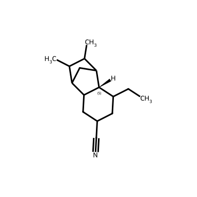 CCC1CC(C#N)CC2C3CC(C(C)C3C)[C@H]12